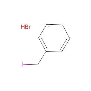 Br.ICc1ccccc1